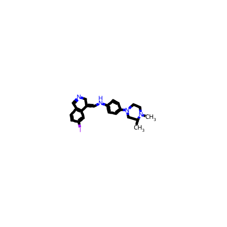 CC1CN(c2ccc(NC=C3CN=Cc4ccc(I)cc43)cc2)CCN1C